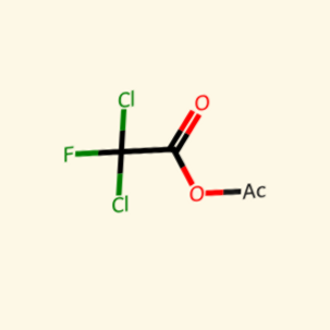 CC(=O)OC(=O)C(F)(Cl)Cl